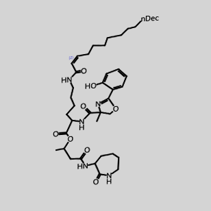 CCCCCCCCCCCCCCCCC/C=C\C(=O)NCCCCC(NC(=O)C1(C)COC(c2ccccc2O)=N1)C(=O)OC(C)CC(=O)NC1CCCCNC1=O